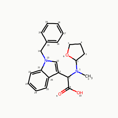 CN(C1CCCO1)C(C(=O)O)c1cn(Cc2ccccc2)c2ccccc12